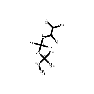 FC(Cl)C(Cl)OC(F)(F)OC(F)(OC(F)(F)F)C(F)(F)F